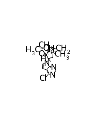 C=C[C@]1(C)C[C@@H](n2ccc3c(Cl)ncnc32)[C@@H]2OC(C)(C)O[C@@H]21